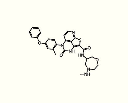 CNN1CCOCC(NC(=O)c2sc3nccc4c3c2NC(=O)N4c2ccc(Oc3ccccc3)cc2C)C1